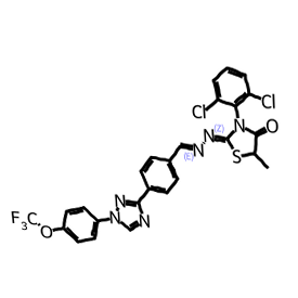 CC1S/C(=N\N=C\c2ccc(-c3ncn(-c4ccc(OC(F)(F)F)cc4)n3)cc2)N(c2c(Cl)cccc2Cl)C1=O